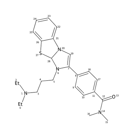 CCN(CC)CCCN1C(c2ccc(C(=O)N(C)C)cc2)=CN2c3ccccc3SC12